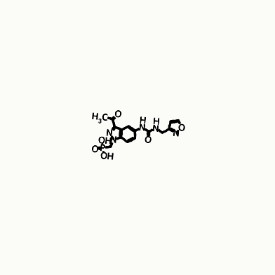 CC(=O)c1nn(CP(=O)(O)O)c2ccc(NC(=O)NCc3ccon3)cc12